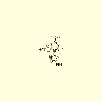 CC(C)N1CC(C)(C)N([n+]2cc([NH-])on2)C(C)(C)C1.Cl